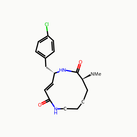 CN[C@H]1CCCCNC(=O)/C=C/[C@H](Cc2ccc(Cl)cc2)NC1=O